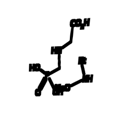 CCNOC.O=C(O)CNCP(=O)(O)O